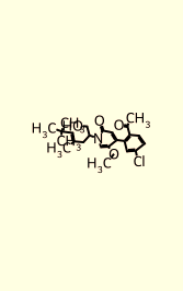 COc1cn(C(CO)CC(C)=CC(C)(C)C)c(=O)cc1-c1cc(Cl)ccc1C(C)=O